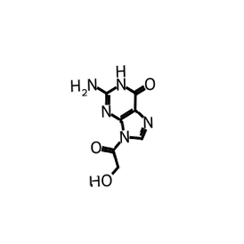 Nc1nc2c(ncn2C(=O)CO)c(=O)[nH]1